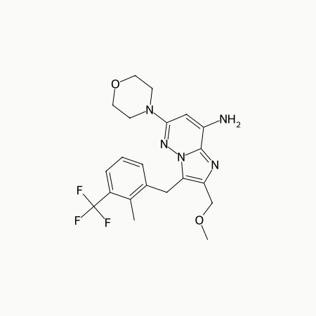 COCc1nc2c(N)cc(N3CCOCC3)nn2c1Cc1cccc(C(F)(F)F)c1C